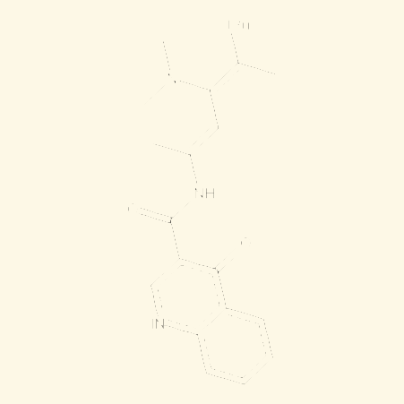 C/C(=C(\C=C(/C)NC(=O)c1c[nH]c2ccccc2c1=O)N(C)C)C(C)(C)C